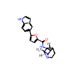 C[C@H]1[C@H](NC(=O)c2ccc(-c3ccc4[nH]ccc4c3)o2)C2CCN1CC2